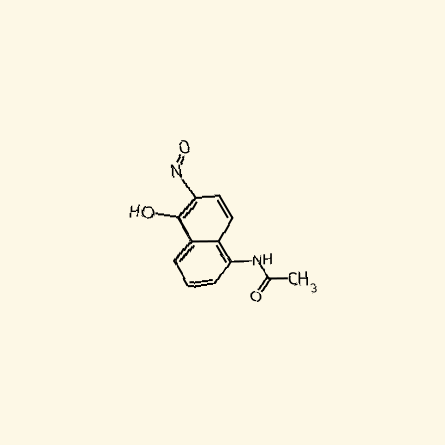 CC(=O)Nc1cccc2c(O)c(N=O)ccc12